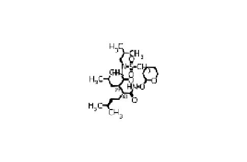 CC(C)=CC[C@H](C(=O)NOC1CCCCO1)[C@@H](CC(C)C)C(=O)NN(CC(C)C)S(C)(=O)=O